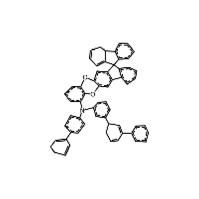 C1=CCC2C(=C1)C1(c3ccccc3-c3cc4c(cc31)Oc1cccc(N(c3ccc(C5=CCCC=C5)cc3)c3cccc(C5C=C(c6ccccc6)C=CC5)c3)c1O4)c1ccccc12